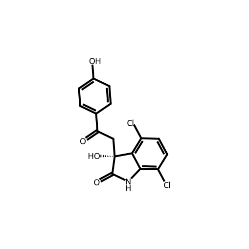 O=C(C[C@]1(O)C(=O)Nc2c(Cl)ccc(Cl)c21)c1ccc(O)cc1